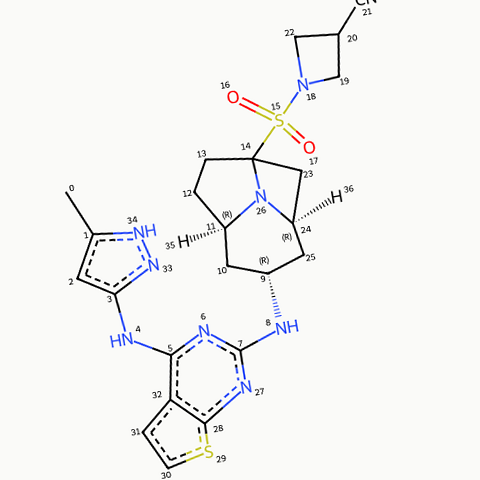 Cc1cc(Nc2nc(N[C@@H]3C[C@H]4CCC5(S(=O)(=O)N6CC(C#N)C6)C[C@@H](C3)N45)nc3sccc23)n[nH]1